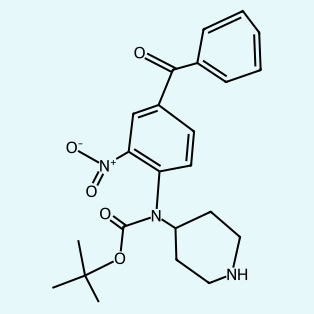 CC(C)(C)OC(=O)N(c1ccc(C(=O)c2ccccc2)cc1[N+](=O)[O-])C1CCNCC1